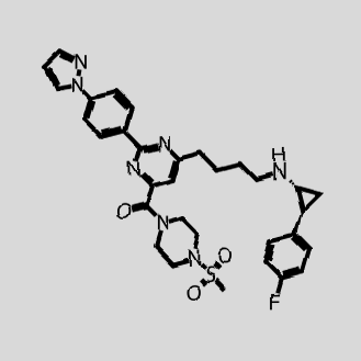 CS(=O)(=O)N1CCN(C(=O)c2cc(CCCCN[C@@H]3C[C@H]3c3ccc(F)cc3)nc(-c3ccc(-n4cccn4)cc3)n2)CC1